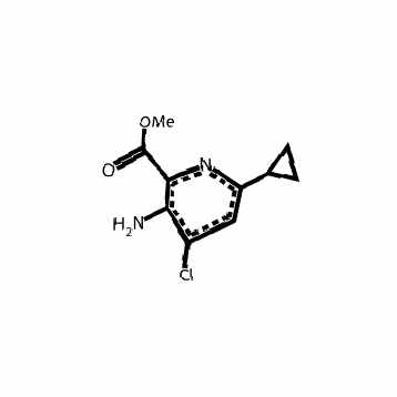 COC(=O)c1nc(C2CC2)cc(Cl)c1N